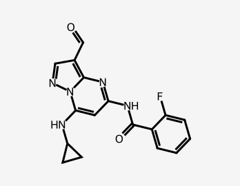 O=Cc1cnn2c(NC3CC3)cc(NC(=O)c3ccccc3F)nc12